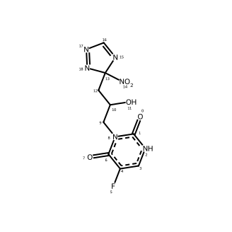 O=c1[nH]cc(F)c(=O)n1CC(O)CC1([N+](=O)[O-])N=CN=N1